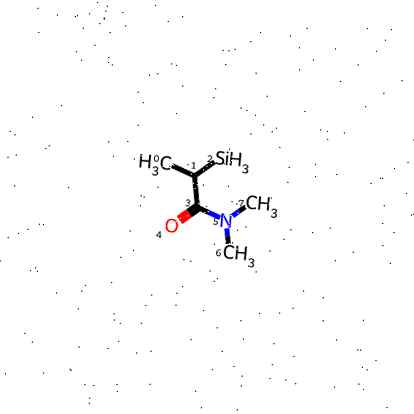 CC([SiH3])C(=O)N(C)C